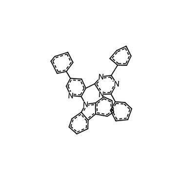 c1ccc(-c2cnc(-n3c4ccccc4c4ccccc43)c(-c3nc(-c4ccccc4)nc(-c4ccccc4)n3)c2)cc1